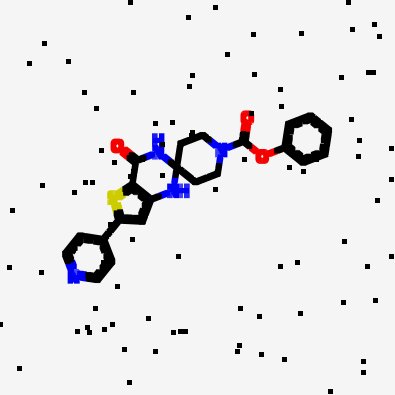 O=C1NC2(CCN(C(=O)Oc3ccccc3)CC2)Nc2cc(-c3ccncc3)sc21